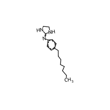 CCCCCCCCc1ccc(N=C2NCCN2)cc1